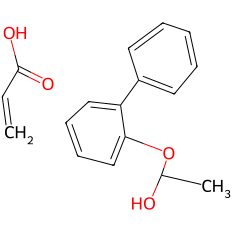 C=CC(=O)O.CC(O)Oc1ccccc1-c1ccccc1